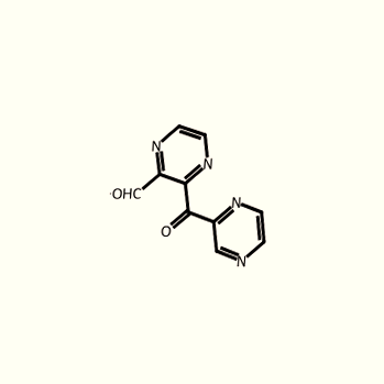 O=[C]c1nccnc1C(=O)c1cnccn1